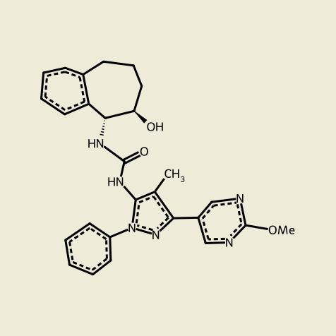 COc1ncc(-c2nn(-c3ccccc3)c(NC(=O)N[C@@H]3c4ccccc4CCC[C@H]3O)c2C)cn1